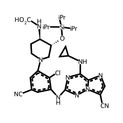 CC(C)[Si](O[C@@H]1CN(c2cc(C#N)cc(Nc3nc(NC4CC4)c4ncc(C#N)n4n3)c2Cl)CC[C@H]1NC(=O)O)(C(C)C)C(C)C